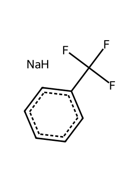 FC(F)(F)c1ccccc1.[NaH]